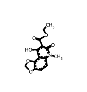 CCOC(=O)c1c(O)c2c3c(ccc2n(C)c1=O)OCO3